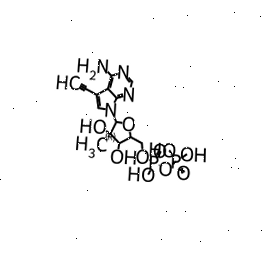 C#Cc1cn(C2OC(COP(=O)(O)OP(=O)(O)O)C(O)[C@@]2(C)O)c2ncnc(N)c12